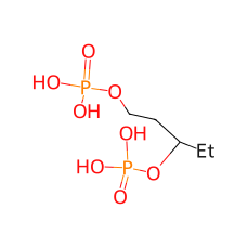 CCC(CCOP(=O)(O)O)OP(=O)(O)O